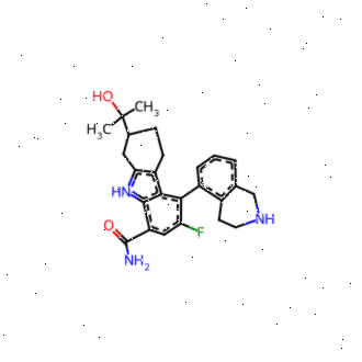 CC(C)(O)C1CCc2c([nH]c3c(C(N)=O)cc(F)c(-c4cccc5c4CCNC5)c23)C1